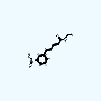 CCOC(=O)C=CC=Cc1cccc([N+](=O)[O-])c1